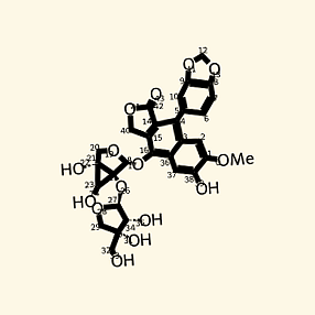 COc1cc2c(-c3ccc4c(c3)OCO4)c3c(c(O[C@@H]4OC[C@]5(O)C(O)[C@@]45O[C@@H]4OC[C@](O)(CO)[C@H]4O)c2cc1O)COC3=O